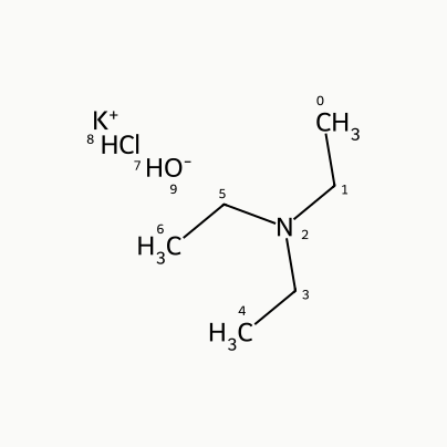 CCN(CC)CC.Cl.[K+].[OH-]